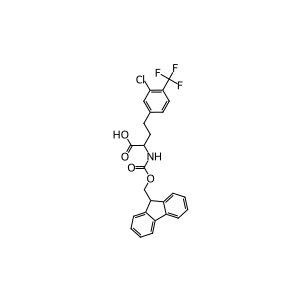 O=C(NC(CCc1ccc(C(F)(F)F)c(Cl)c1)C(=O)O)OCC1c2ccccc2-c2ccccc21